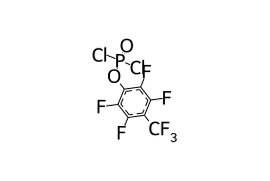 O=P(Cl)(Cl)Oc1c(F)c(F)c(C(F)(F)F)c(F)c1F